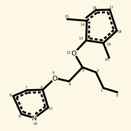 CCCC(COc1cccnc1)Oc1c(C)cccc1C